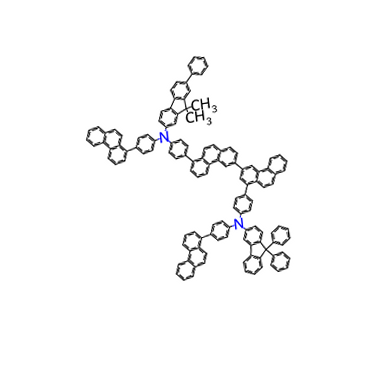 CC1(C)c2cc(-c3ccccc3)ccc2-c2ccc(N(c3ccc(-c4cccc5c4ccc4ccccc45)cc3)c3ccc(-c4cccc5c4ccc4ccc(-c6cc(-c7ccc(N(c8ccc(-c9cccc%10c9ccc9ccccc9%10)cc8)c8ccc9c(c8)-c8ccccc8C9(c8ccccc8)c8ccccc8)cc7)c7ccc8ccccc8c7c6)cc45)cc3)cc21